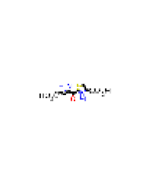 N[C@@H](CCC(=O)O)C(=O)C1NC(C(=O)O)CS1